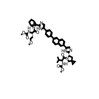 COCC[C@H](NC(=O)OC)C(=O)N1C2CCC(C2)C1c1ncc(-c2ccc(-c3ccc4cc(-c5cnc([C@@H]6CC7(CC7)CN6C(=O)[C@@H](NC(=O)OC)C(C)C)[nH]5)ccc4c3)cc2)[nH]1